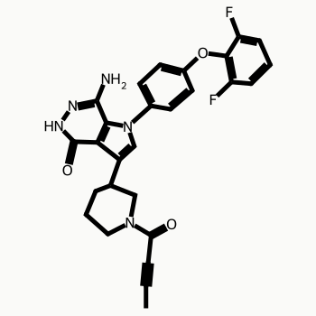 CC#CC(=O)N1CCCC(c2cn(-c3ccc(Oc4c(F)cccc4F)cc3)c3c(N)n[nH]c(=O)c23)C1